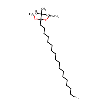 CCCCCCCCCCCCCCCCCC[Si](OC)(OCC)C(C)(C)C